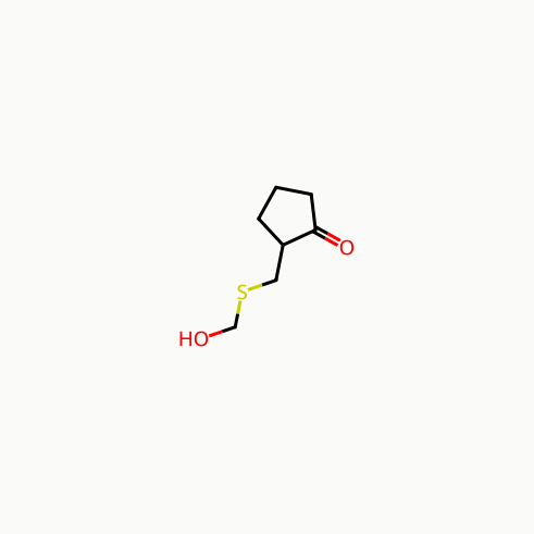 O=C1CCCC1CSCO